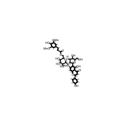 COc1cc(/C=C/C(=O)OCC2OC(OC3C(c4c(OC)cc5oc(-c6ccc(O)cc6)cc(=O)c5c4O)OC(CO)C(O)C3O)C(O)C(O)C2O)cc(OC)c1O